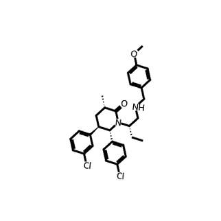 CC[C@@H](CNCc1ccc(OC)cc1)N1C(=O)[C@@H](C)C[C@H](c2cccc(Cl)c2)[C@H]1c1ccc(Cl)cc1